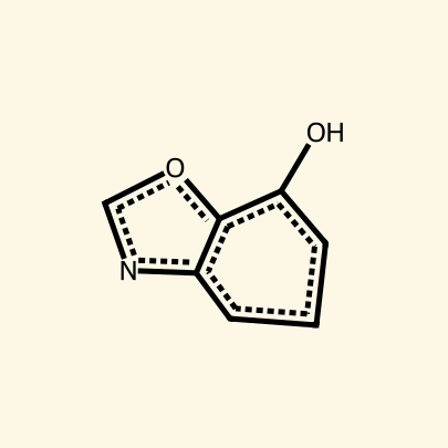 Oc1cccc2ncoc12